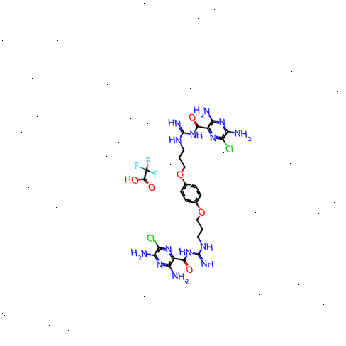 N=C(NCCCOc1ccc(OCCCNC(=N)NC(=O)c2nc(Cl)c(N)nc2N)cc1)NC(=O)c1nc(Cl)c(N)nc1N.O=C(O)C(F)(F)F